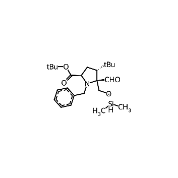 C[SiH](C)OC[C@@]1(C=O)[C@@H](C(C)(C)C)C[C@H](C(=O)OC(C)(C)C)N1Cc1ccccc1